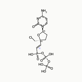 Nc1ccn([C@H]2CC[C@](/C=C/P(=O)(O)OP(=O)(O)OP(=O)(O)O)(CCl)O2)c(=O)n1